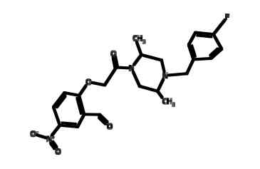 CC1CN(C(=O)COc2ccc([N+](=O)[O-])cc2C=O)C(C)CN1Cc1ccc(F)cc1